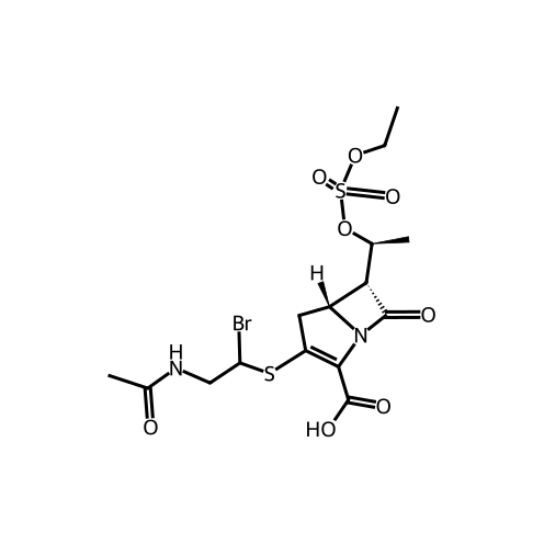 CCOS(=O)(=O)O[C@@H](C)[C@@H]1C(=O)N2C(C(=O)O)=C(SC(Br)CNC(C)=O)C[C@H]12